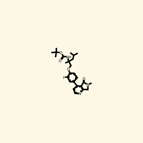 CC(C)CC(C)(COc1ccc(-c2ccnc3c2C(=O)N(C)C3)cc1F)NC(=O)OC(C)(C)C